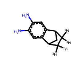 [2H]C1([2H])C2CC(c3cc(N)c(N)cc32)C1([2H])[2H]